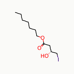 CCCCCCCOC(=O)C[C@@H](O)CI